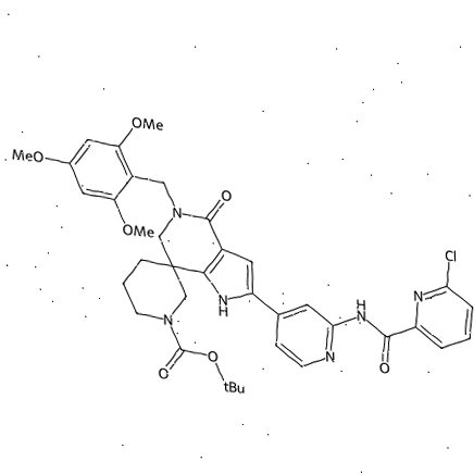 COc1cc(OC)c(CN2CC3(CCCN(C(=O)OC(C)(C)C)C3)c3[nH]c(-c4ccnc(NC(=O)c5cccc(Cl)n5)c4)cc3C2=O)c(OC)c1